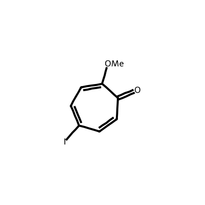 COc1ccc(I)ccc1=O